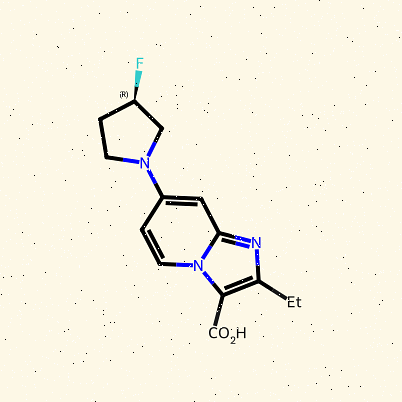 CCc1nc2cc(N3CC[C@@H](F)C3)ccn2c1C(=O)O